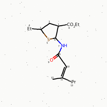 CCOC(=O)C1CC(CC)SC1NC(=O)/C=C(\C)C(C)C